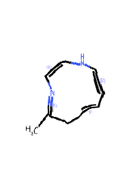 C/C1=N\C=C/N/C=C\C=C\C1